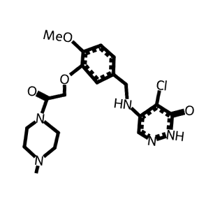 COc1ccc(CNc2cn[nH]c(=O)c2Cl)cc1OCC(=O)N1CCN(C)CC1